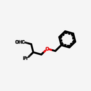 CC(C)C(CC=O)COCc1ccccc1